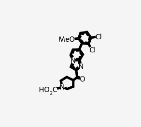 COc1ccc(Cl)c(Cl)c1-c1ccn2cc(C(=O)C3CCN(C(=O)O)CC3)nc2c1